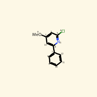 COc1cc(Cl)nc(-c2ccccc2)c1